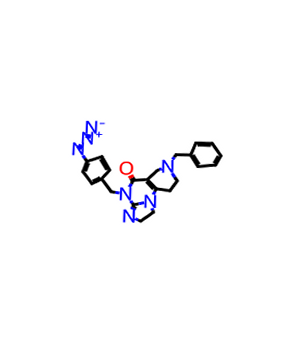 [N-]=[N+]=Nc1ccc(CN2C(=O)C3=C(CCN(Cc4ccccc4)C3)N3CCN=C23)cc1